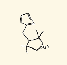 CC1(C)CNCC(C)(C)[C]1Cc1ccccc1